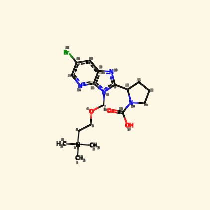 C[Si](C)(C)CCOCn1c(C2CCCN2C(=O)O)nc2cc(Br)cnc21